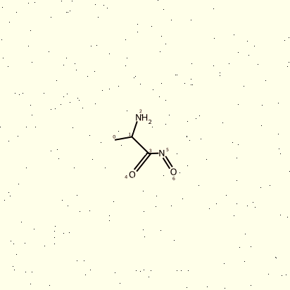 CC(N)C(=O)N=O